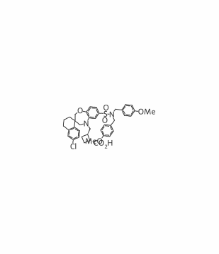 COc1ccc(CN(Cc2ccc(OC)cc2)S(=O)(=O)c2ccc3c(c2)N(C[C@@H]2CC[C@H]2C(=O)O)CC2(CCCc4cc(Cl)ccc42)CO3)cc1